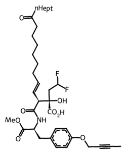 CC#CCOc1ccc(C[C@H](NC(=O)[C@@H](C=CCCCCCCC(=O)CCCCCCC)[C@@](O)(CC(F)F)C(=O)O)C(=O)OC)cc1